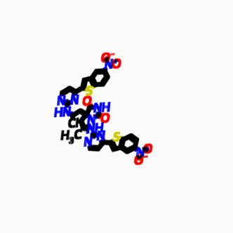 CC(CC1(CC(C)Nc2nccc(-c3cc4cc([N+](=O)[O-])ccc4s3)n2)NC(=O)NC1=O)Nc1nccc(-c2cc3cc([N+](=O)[O-])ccc3s2)n1